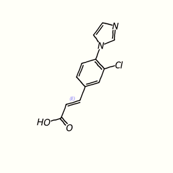 O=C(O)/C=C/c1ccc(-n2ccnc2)c(Cl)c1